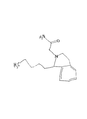 CCCCCC1c2ccccc2CCN1CC(N)=O